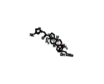 COC[C@@]1(O)CC[C@@]2(C3(C)CC3)[C@H](CC[C@H]3[C@@H]4CC[C@H](C(=O)Cn5cc(C#N)cn5)[C@@]4(C)CC[C@@H]32)C1